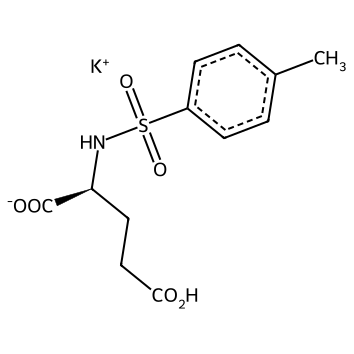 Cc1ccc(S(=O)(=O)N[C@@H](CCC(=O)O)C(=O)[O-])cc1.[K+]